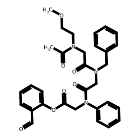 COCCN(CC(=O)N(CC(=O)N(CC(=O)Oc1ccccc1C=O)c1ccccc1)Cc1ccccc1)C(C)=O